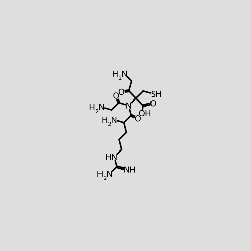 N=C(N)NCCCC(N)C(=O)N(C(=O)CN)C(CS)(C(=O)O)C(=O)CN